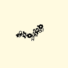 Cc1cccc(Cl)c1N1CN(C)c2nc(Nc3ccc(N4CC(C)N(C(=O)OC(C)(C)C)CC4C)cc3)ncc2C1=O